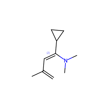 C=C(C)/C=C(/C1CC1)N(C)C